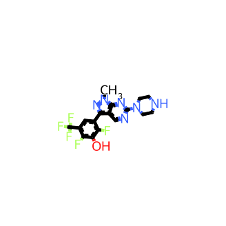 Cn1nc(-c2cc(C(F)(F)F)c(F)c(O)c2F)c2cnc(N3CCNCC3)nc21